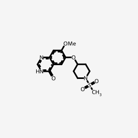 COc1cc2nc[nH]c(=O)c2cc1OC1CCN(S(C)(=O)=O)CC1